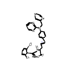 COC(=O)C(C/C=C/c1ccc(N(Cc2cscn2)c2ncccn2)cc1)NC(=O)c1c(Cl)cccc1Cl